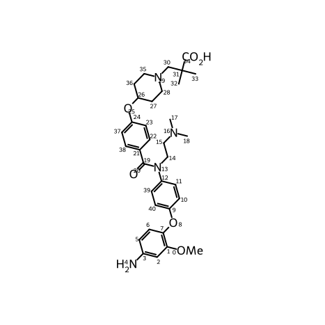 COc1cc(N)ccc1Oc1ccc(N(CCN(C)C)C(=O)c2ccc(OC3CCN(CC(C)(C)C(=O)O)CC3)cc2)cc1